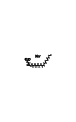 CCCCCCCC/C=C\CCCCCCCCN(C)CCC(=O)[O-].[Na+]